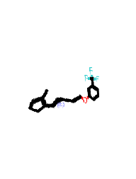 CC1CCCC1/C=C/CCOc1cccc(C(F)(F)F)c1